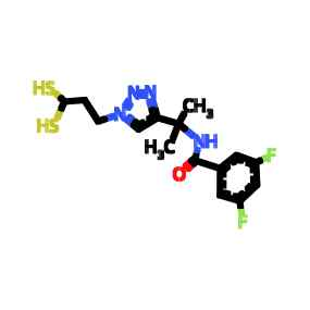 CC(C)(NC(=O)c1cc(F)cc(F)c1)c1cn(CCC(S)S)nn1